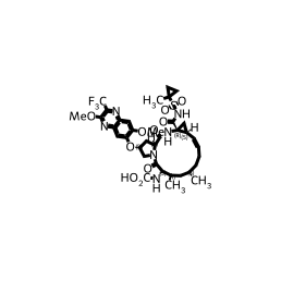 COc1cc2nc(C(F)(F)F)c(OC)nc2cc1O[C@@H]1C[C@H]2C(=O)N[C@]3(C(=O)NS(=O)(=O)C4(C)CC4)C[C@H]3C=CCC[C@H](C)C[C@@H](C)[C@H](NC(=O)O)C(=O)N2C1